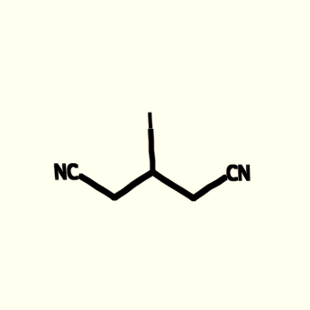 N#CCC(I)CC#N